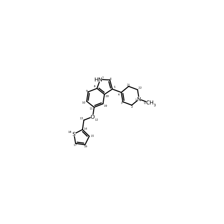 CN1CC=C(c2c[nH]c3ccc(OCc4cccs4)cc23)CC1